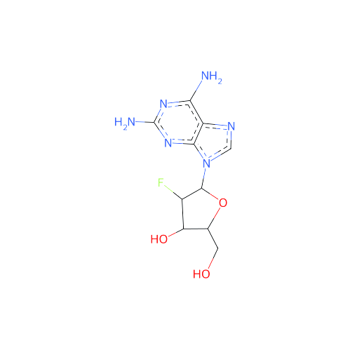 Nc1nc(N)c2ncn(C3OC(CO)C(O)C3F)c2n1